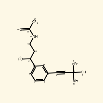 CCCC(O)(C#Cc1cccc(C(O)CCNC(=O)C(F)(F)F)c1)CCC